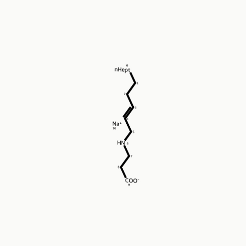 CCCCCCCCCC=CCNCCC(=O)[O-].[Na+]